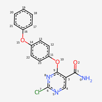 NC(=O)c1cnc(Cl)nc1Oc1ccc(Oc2ccccc2)cc1